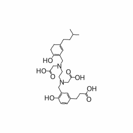 CC(C)CCC1=CC(CN(CCN(CC(=O)O)Cc2cc(CCC(=O)O)ccc2O)CC(=O)O)=C(O)CC1